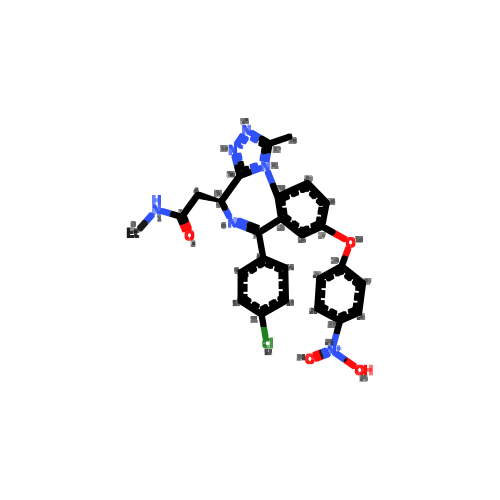 CCNC(=O)C[C@@H]1N=C(c2ccc(Cl)cc2)c2cc(Oc3ccc([N+](=O)O)cc3)ccc2-n2c(C)nnc21